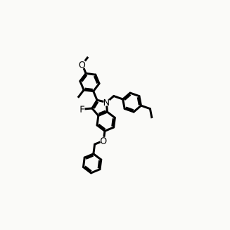 CCc1ccc(Cn2c(-c3ccc(OC)cc3C)c(F)c3cc(OCc4ccccc4)ccc32)cc1